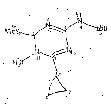 CSC1N=C(NC(C)(C)C)N=C(C2CC2)N1N